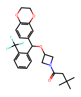 CC(C)(C)CC(=O)N1CC(OC(c2ccc3c(c2)OCCO3)c2ccccc2C(F)(F)F)C1